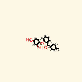 Cc1ccc(C(=O)c2ccccc2Oc2ccc(O)cc2O)cc1